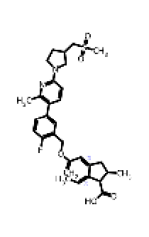 C=C(/C=C1/CC(C)C(C(=O)O)/C1=C/C)OCc1cc(-c2ccc(N3CCC(CS(C)(=O)=O)C3)nc2C)ccc1F